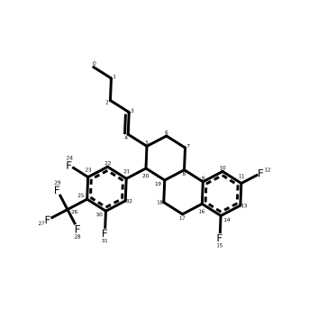 CCCC=CC1CCC2c3cc(F)cc(F)c3CCC2C1c1cc(F)c(C(F)(F)F)c(F)c1